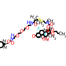 CCCC1O[C@@H]2CC3[C@@H]4C[C@H](F)C5=CC(=O)C=C[C@]5(C)[C@@]4(F)[C@@H](O)C[C@]3(C)[C@]2(C(=O)COC(=O)N(C)CCSSC(C)(C)CC(=O)NCCOCCOCCOCCNC(=O)OC[C@@H]2[C@@H]3CC/C=C\CC[C@@H]32)O1